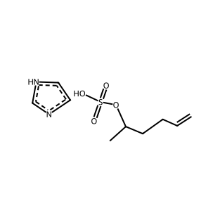 C=CCCC(C)OS(=O)(=O)O.c1c[nH]cn1